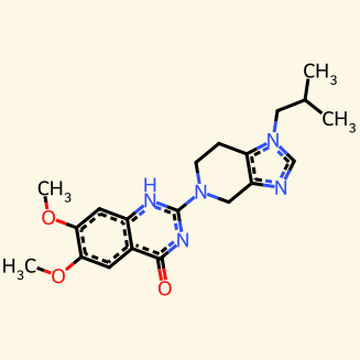 COc1cc2[nH]c(N3CCc4c(ncn4CC(C)C)C3)nc(=O)c2cc1OC